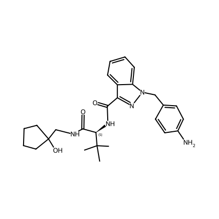 CC(C)(C)[C@H](NC(=O)c1nn(Cc2ccc(N)cc2)c2ccccc12)C(=O)NCC1(O)CCCC1